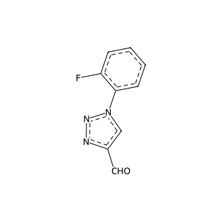 O=Cc1cn(-c2ccccc2F)nn1